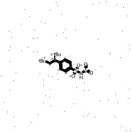 CC(C)(C)C[C@H](c1ccc(S(=O)(=O)N[SH](=O)=O)cc1)C(C)(C)C